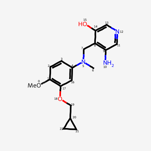 COc1ccc(N(C)Cc2c(N)cncc2O)cc1OCC1CC1